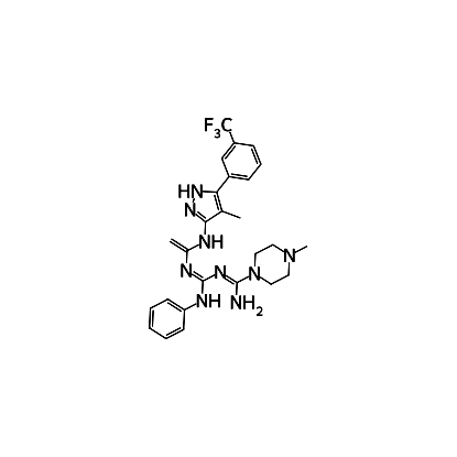 C=C(/N=C(\N=C(/N)N1CCN(C)CC1)Nc1ccccc1)Nc1n[nH]c(-c2cccc(C(F)(F)F)c2)c1C